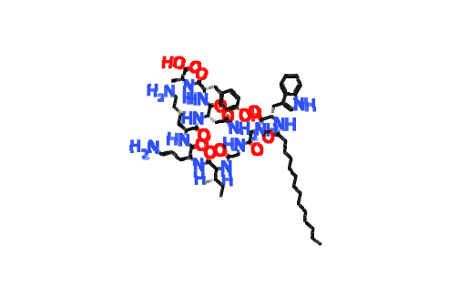 CCCCCCCCCCCCCC(=O)N[C@@H](Cc1c[nH]c2ccccc12)C(=O)NCC(=O)NCC(=O)N[C@H](C(=O)N[C@@H](CCCN)C(=O)N[C@@H](CCCCN)C(=O)N[C@@H](CC(N)=O)C(=O)N[C@@H](Cc1ccc(O)cc1)C(=O)N[C@@H](C)C(=O)O)[C@@H](C)CC